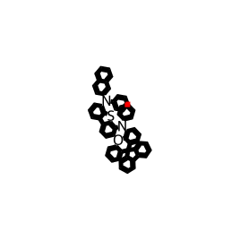 c1ccc(N(c2ccc3ccccc3c2)c2cccc3c2sc2c(N(c4ccccc4)c4cccc5c4Oc4ccccc4C54c5ccccc5-c5ccccc54)cccc23)cc1